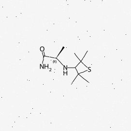 C[C@@H](NC1C(C)(C)SC1(C)C)C(N)=O